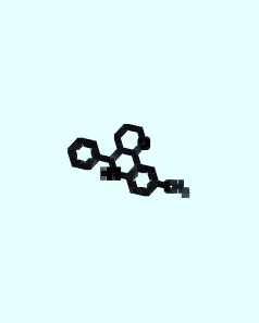 Cc1ccc2c(c1)C1OCCCC1C(c1ccccc1)N2